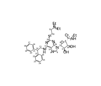 CCNC(=O)[C@H]1O[C@@H](n2cnc3c(NCC(c4ccccc4)c4ccccc4)nc(SCCN(CC)CC)nc32)[C@H](O)[C@@H]1O